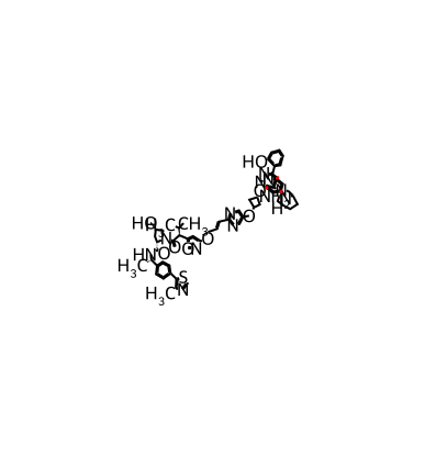 Cc1ncsc1-c1ccc([C@H](C)NC(=O)[C@@H]2C[C@@H](O)CN2C(=O)[C@H](c2cc(OC/C=C/c3ncc(OC4CC(Oc5cc(N6C7CC[C@@H]6CN(c6cc(-c8ccccc8O)nnc6N)C7)ccn5)C4)cn3)no2)C(C)C)cc1